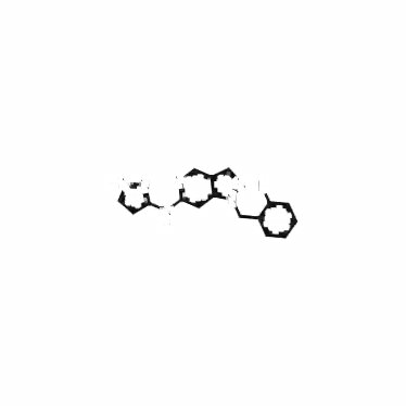 Fc1ccccc1Cn1ncc2cnc(Nc3cc[nH]n3)cc21